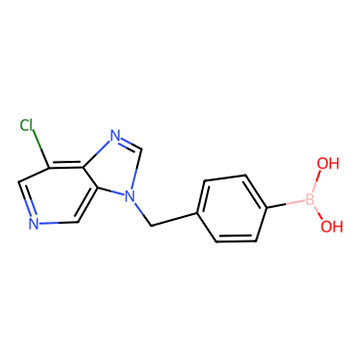 OB(O)c1ccc(Cn2cnc3c(Cl)cncc32)cc1